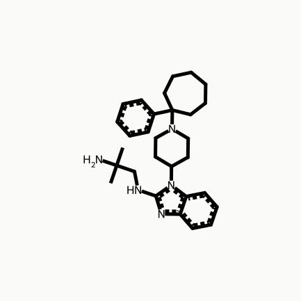 CC(C)(N)CNc1nc2ccccc2n1C1CCN(C2(c3ccccc3)CCCCCC2)CC1